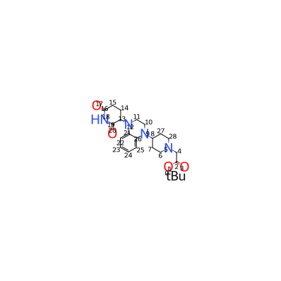 CC(C)(C)OC(=O)CN1CCC(N2CCN(C3CCC(=O)NC3=O)c3ccccc32)CC1